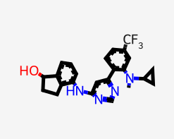 CN(c1cc(C(F)(F)F)ccc1-c1cc(Nc2cccc3c2CCC3O)ncn1)C1CC1